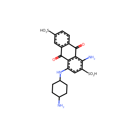 Nc1c(S(=O)(=O)O)cc(NC2CCC(N)CC2)c2c1C(=O)c1ccc(S(=O)(=O)O)cc1C2=O